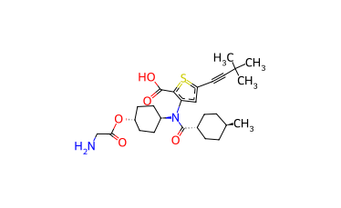 CC(C)(C)C#Cc1cc(N(C(=O)[C@H]2CC[C@H](C)CC2)[C@H]2CC[C@H](OC(=O)CN)CC2)c(C(=O)O)s1